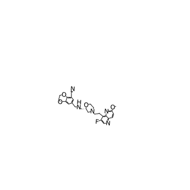 COc1ccc2ncc(F)c(CCN3CCO[C@@H](CNCc4cc(C#N)c5c(c4)OCCO5)C3)c2n1